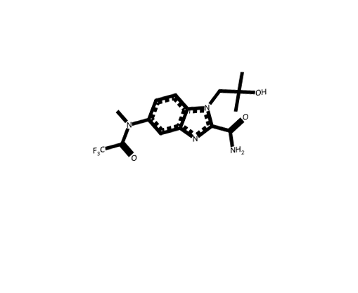 CN(C(=O)C(F)(F)F)c1ccc2c(c1)nc(C(N)=O)n2CC(C)(C)O